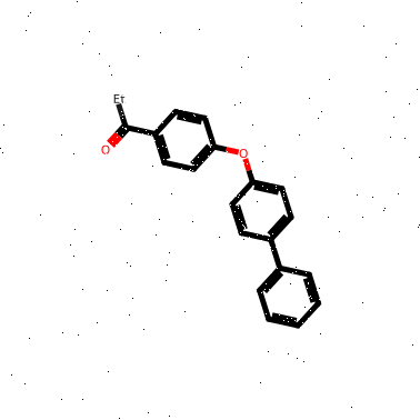 CCC(=O)c1ccc(Oc2ccc(-c3ccccc3)cc2)cc1